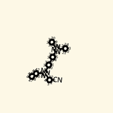 N#Cc1cccc(-c2nc(-c3ccc(-c4ccc(-c5nc(-c6ccccc6)nc(-c6ccccc6)n5)cc4)cc3)nc(-c3ccc4ccccc4c3)n2)c1